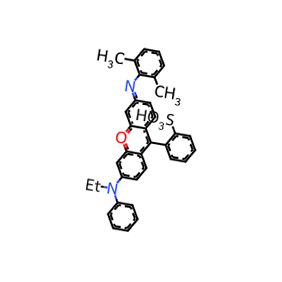 CCN(c1ccccc1)c1ccc2c(-c3ccccc3S(=O)(=O)O)c3cc/c(=N\c4c(C)cccc4C)cc-3oc2c1